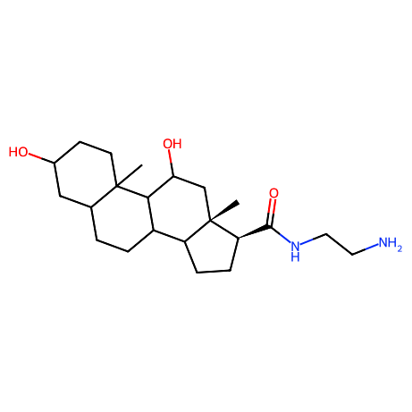 CC12CCC(O)CC1CCC1C2C(O)C[C@@]2(C)C1CC[C@@H]2C(=O)NCCN